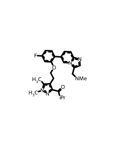 CNCc1cnc2ccc(-c3ccc(F)cc3OCCc3c(C(=O)C(C)C)nn(C)c3C)cn12